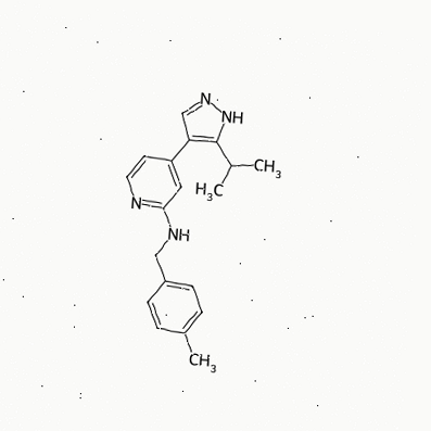 Cc1ccc(CNc2cc(-c3cn[nH]c3C(C)C)ccn2)cc1